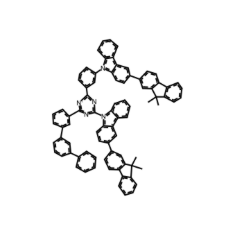 CC1(C)c2ccccc2-c2ccc(-c3ccc4c(c3)c3ccccc3n4-c3cccc(-c4nc(-c5cccc(-c6cccc(-c7ccccc7)c6)c5)nc(-n5c6ccccc6c6cc(-c7ccc8c(c7)C(C)(C)c7ccccc7-8)ccc65)n4)c3)cc21